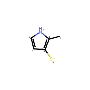 Cc1[nH]ccc1S